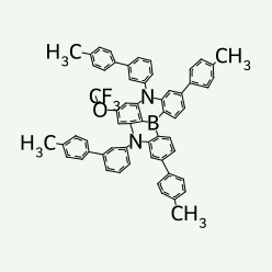 Cc1ccc(-c2cccc(N3c4cc(-c5ccc(C)cc5)ccc4B4c5ccc(-c6ccc(C)cc6)cc5N(c5cccc(-c6ccc(C)cc6)c5)c5cc(OC(F)(F)F)cc3c54)c2)cc1